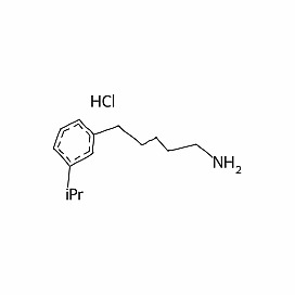 CC(C)c1cccc(CCCCCN)c1.Cl